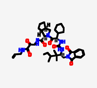 C=CCNC(=O)C(=O)CNC(=O)[C@@H]1[C@H]2CCC[C@H]2CN1C(=O)[C@@H](NC(=O)N[C@H](CN1C(=O)c2ccccc2C1=O)C(C)(C)C(C)CC)C1CCCCC1